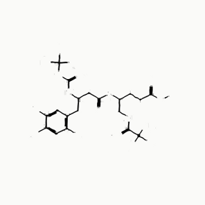 COC(=O)CCC(CNC(=O)C(C)(C)F)NC(=O)CC(Cc1cc(F)c(F)cc1F)NC(=O)OC(C)(C)C